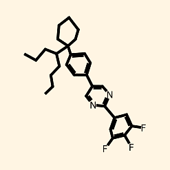 CCCCC(CCC)C1(c2ccc(-c3cnc(-c4cc(F)c(F)c(F)c4)nc3)cc2)CCCCC1